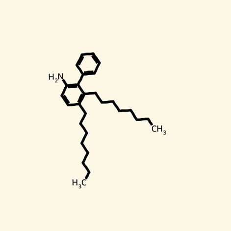 CCCCCCCCc1ccc(N)c(-c2ccccc2)c1CCCCCCCC